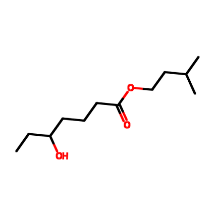 CCC(O)CCCC(=O)OCCC(C)C